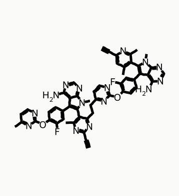 C#Cc1cc(C)c(-c2c(-c3ccc(Oc4nccc(CCc5nc(C#C)nc(C)c5-c5c(-c6ccc(Oc7nccc(C)n7)c(F)c6)c6c(N)ncnc6n5C)n4)c(F)c3)c3c(N)ncnc3n2C)c(C)n1